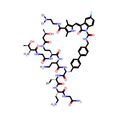 CCN(CC)CCNC(=O)c1c(C)[nH]c(/C=C2\C(=O)N(C(=O)NCc3ccc(-c4ccc(C[C@@H](NC(=O)C(CCN)NC(=O)[C@H](CCNC(=O)C[C@@H](C)O)NC(=O)CNC(=O)[C@@H](N)[C@@H](C)O)C(=O)N[C@@H](CC(C)C)C(=O)N[C@@H](CCN)C(=O)NCC(N)=O)cc4)cc3)c3ccc(F)cc32)c1C